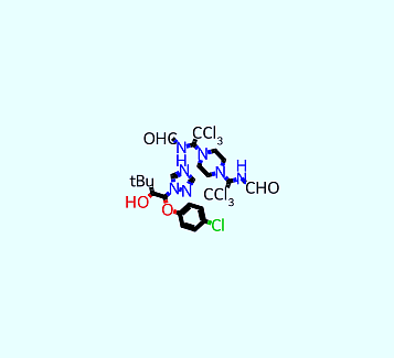 CC(C)(C)C(O)C(Oc1ccc(Cl)cc1)n1cncn1.O=CNC(N1CCN(C(NC=O)C(Cl)(Cl)Cl)CC1)C(Cl)(Cl)Cl